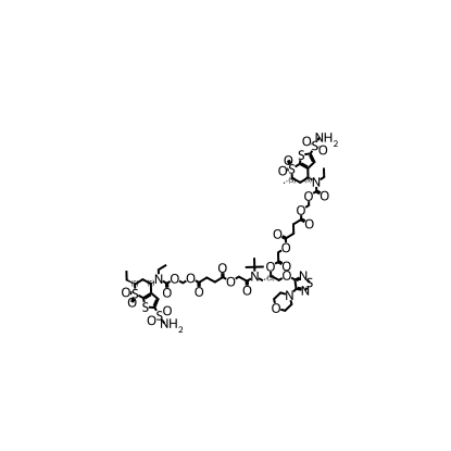 CC[C@H]1C[C@H](N(CC)C(=O)OCOC(=O)CCC(=O)OCC(=O)N(C[C@@H](COc2nsnc2N2CCOCC2)OC(=O)COC(=O)CCC(=O)OCOC(=O)N(CC)[C@H]2C[C@H](C)S(=O)(=O)c3sc(S(N)(=O)=O)cc32)C(C)(C)C)c2cc(S(N)(=O)=O)sc2S1(=O)=O